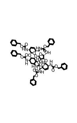 O=C(NC[C@H]1C=C[C@@H](NC(=O)OCc2ccccc2)[C@@H](O[C@H]2[C@@H](O)[C@H](O[C@@H]3[C@H]4OC(=O)N[C@@H]4C[C@H](NC(=O)OCc4ccccc4)[C@H]3O[C@H]3O[C@H](CNC(=O)OCc4ccccc4)C=C[C@H]3NC(=O)OCc3ccccc3)O[C@@H]2CO)O1)OCc1ccccc1